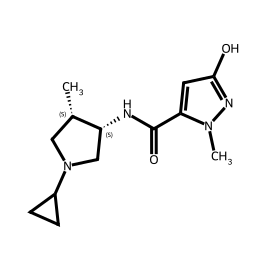 C[C@H]1CN(C2CC2)C[C@H]1NC(=O)c1cc(O)nn1C